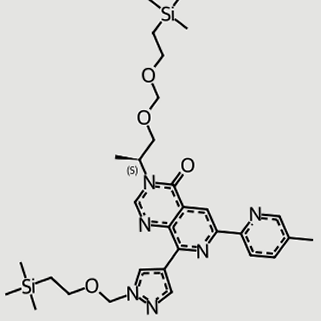 Cc1ccc(-c2cc3c(=O)n([C@@H](C)COCOCC[Si](C)(C)C)cnc3c(-c3cnn(COCC[Si](C)(C)C)c3)n2)nc1